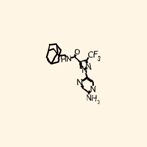 Nc1cnc(-n2cc(C(=O)NCC34CC5CC(CC(C5)C3)C4)c(C(F)(F)F)n2)cn1